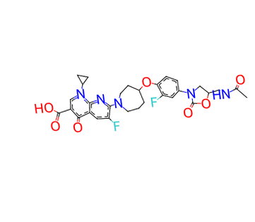 CC(=O)NCC1CN(c2ccc(OC3CCCN(c4nc5c(cc4F)c(=O)c(C(=O)O)cn5C4CC4)CC3)c(F)c2)C(=O)O1